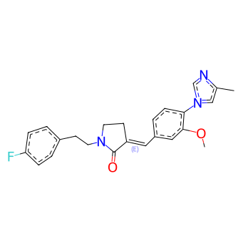 COc1cc(/C=C2\CCN(CCc3ccc(F)cc3)C2=O)ccc1-n1cnc(C)c1